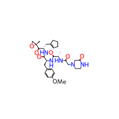 COc1ccc(C[C@H](NC(=O)[C@H](C)NC(=O)CN2CCNC(=O)C2)C(=O)N[C@@H](CC2=CCCC2)C(=O)[C@@]2(C)CO2)cc1